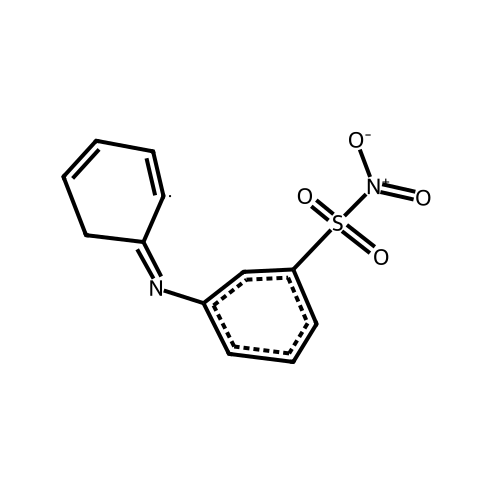 O=[N+]([O-])S(=O)(=O)c1cccc(N=C2[C]=CC=CC2)c1